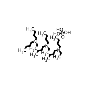 CCCCN(CC)CCCC.CCCCN(CC)CCCC.CCCCN(CC)CCCC.O=P(O)(O)O